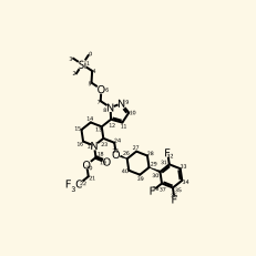 C[Si](C)(C)CCOCn1nccc1C1CCCN(C(=O)OCC(F)(F)F)C1CO[C@H]1CC[C@@H](c2c(F)ccc(F)c2F)CC1